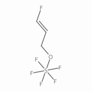 FC=CCOS(F)(F)(F)(F)F